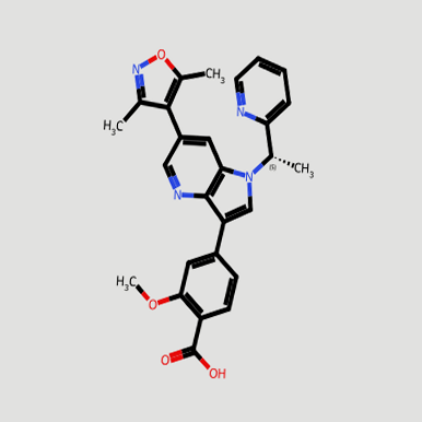 COc1cc(-c2cn([C@@H](C)c3ccccn3)c3cc(-c4c(C)noc4C)cnc23)ccc1C(=O)O